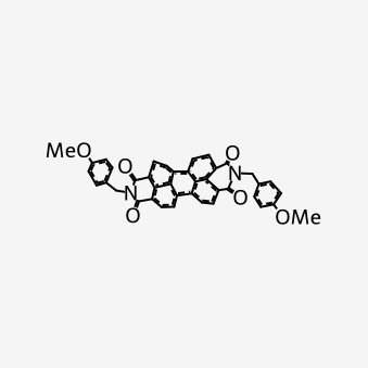 COc1ccc(CN2C(=O)c3ccc4c5ccc6c7c(ccc(c8ccc(c3c48)C2=O)c75)C(=O)N(Cc2ccc(OC)cc2)C6=O)cc1